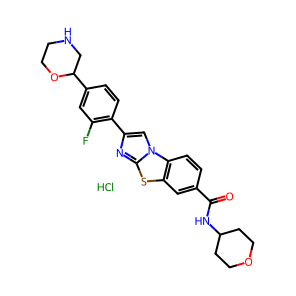 Cl.O=C(NC1CCOCC1)c1ccc2c(c1)sc1nc(-c3ccc(C4CNCCO4)cc3F)cn12